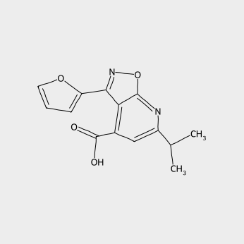 CC(C)c1cc(C(=O)O)c2c(-c3ccco3)noc2n1